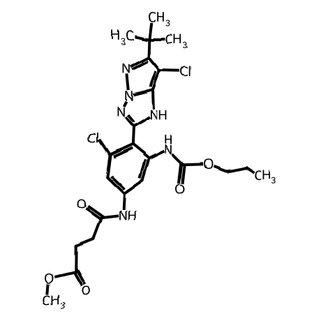 CCCOC(=O)Nc1cc(NC(=O)CCC(=O)OC)cc(Cl)c1-c1nn2nc(C(C)(C)C)c(Cl)c2[nH]1